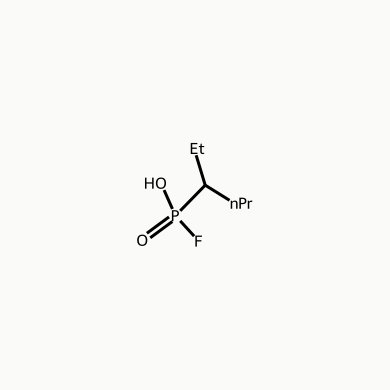 CCCC(CC)P(=O)(O)F